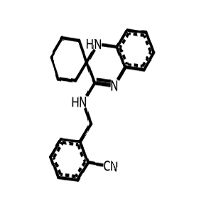 N#Cc1ccccc1CNC1=Nc2ccccc2NC12CCCCC2